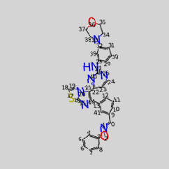 C(=NOc1ccccc1)c1cccc(-c2nc3sccn3c2-c2ccnc(Nc3cccc(N4CCOCC4)c3)n2)c1